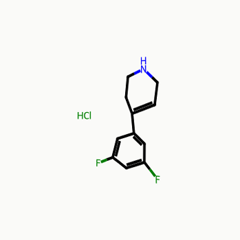 Cl.Fc1cc(F)cc(C2=CCNCC2)c1